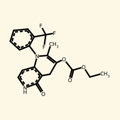 CCOC(=O)OC1=C(C)N(c2ccccc2C(F)(F)F)c2cc[nH]c(=O)c2C1